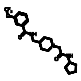 O=C(CN1CCC(CNC(=O)c2cccc(OC(F)(F)F)c2)CC1)NC1CCCC1